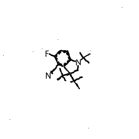 CC(C)(C)N1CC(C(C)(C)C)(C(C)(C)C)c2c1ccc(F)c2C#N